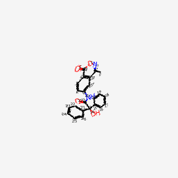 Cc1noc(=O)c2ccc(NC(=O)C(O)(c3ccccc3)c3ccccc3)cc12